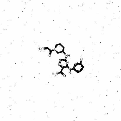 C=CC(=O)N1CCCC(Nc2nnc(C(N)=O)c(Nc3cccc(Cl)c3)n2)C1